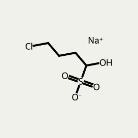 O=S(=O)([O-])C(O)CCCCl.[Na+]